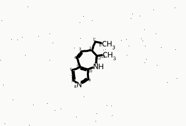 CCC1C=Cc2ccncc2NC1C